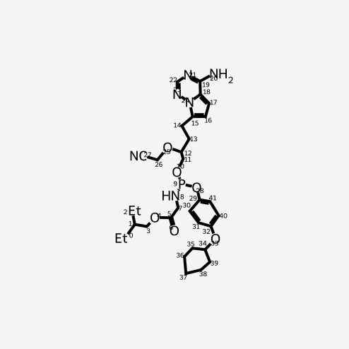 CCC(CC)COC(=O)CNP(OCC(CCc1ccc2c(N)ncnn12)OCC#N)Oc1ccc(OC2CCCCC2)cc1